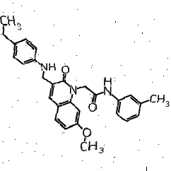 CCc1ccc(NCc2cc3ccc(OC)cc3n(CC(=O)Nc3cccc(C)c3)c2=O)cc1